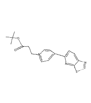 CC(C)(C)OC(=O)CC[n+]1ccc(-c2ccc3ncsc3n2)cc1